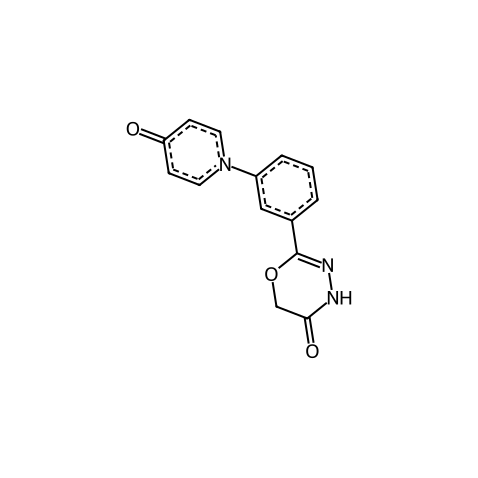 O=C1COC(c2cccc(-n3ccc(=O)cc3)c2)=NN1